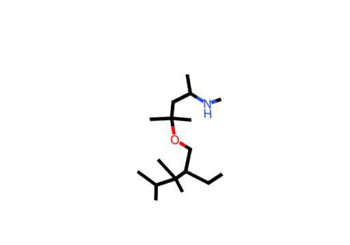 CCC(COC(C)(C)CC(C)NC)C(C)(C)C(C)C